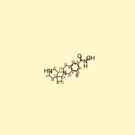 O=C(NO)c1cc(F)c2c(c1)CCN(C1CCC13CCNCC3)C2